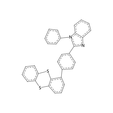 c1ccc(-n2c(-c3ccc(-c4cccc5c4Sc4ccccc4S5)cc3)nc3ccccc32)cc1